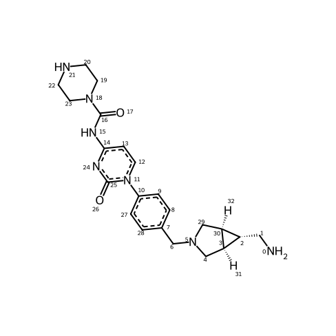 NC[C@@H]1[C@H]2CN(Cc3ccc(-n4ccc(NC(=O)N5CCNCC5)nc4=O)cc3)C[C@@H]12